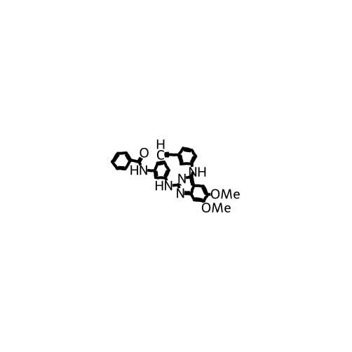 C#Cc1cccc(Nc2nc(Nc3cccc(NC(=O)c4ccccc4)c3)nc3cc(OC)c(OC)cc23)c1